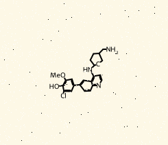 COc1cc(-c2ccc3nc[c]c(NC4CCC(CN)CC4)c3c2)cc(Cl)c1O